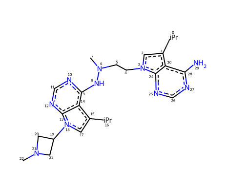 CC(C)c1cn(CCN(C)Nc2ncnc3c2c(C(C)C)cn3C2CN(C)C2)c2ncnc(N)c12